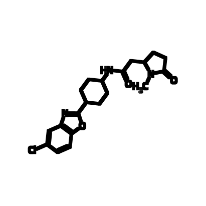 CN1C(=O)CCC1CC(=O)NC1CCC(c2nc3cc(Cl)ccc3o2)CC1